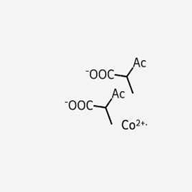 CC(=O)C(C)C(=O)[O-].CC(=O)C(C)C(=O)[O-].[Co+2]